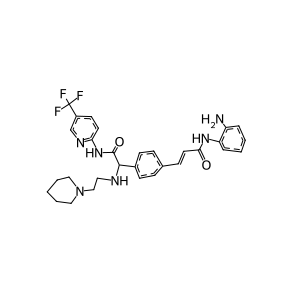 Nc1ccccc1NC(=O)C=Cc1ccc(C(NCCN2CCCCC2)C(=O)Nc2ccc(C(F)(F)F)cn2)cc1